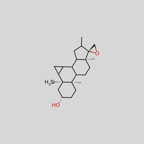 CC1CC2C3C4CC4[C@]4([SiH3])C[C@@H](O)CC[C@]4(C)C3CC[C@]2(C)[C@]12CO2